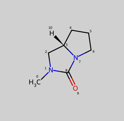 CN1C[C@@H]2CCCN2C1=O